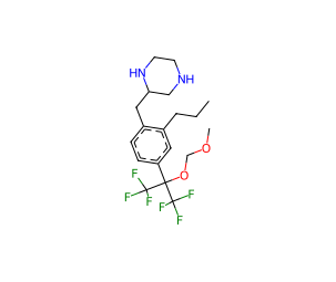 CCCc1cc(C(OCOC)(C(F)(F)F)C(F)(F)F)ccc1CC1CNCCN1